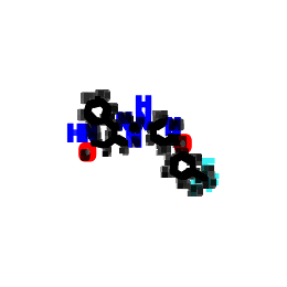 O=C1Cc2cnc(Nc3ccc(Oc4cccc(C(F)(F)F)c4)nc3)nc2-c2ccccc2N1